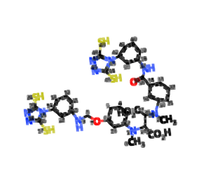 CN(c1cccc(OCNc2cccc(-n3c(S)nnc3S)c2)c1)C(C(=O)O)C(C(=O)O)N(C)c1cccc(C(=O)Nc2cccc(-n3c(S)nnc3S)c2)c1